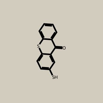 O=c1c2ccccc2sc2ccc(S)cc12